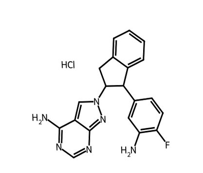 Cl.Nc1cc(C2c3ccccc3CC2n2cc3c(N)ncnc3n2)ccc1F